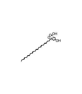 CC/C=C/C/C=C/C/C=C/C/C=C/C/C=C/C/C=C/CCC(=O)N1CC(O)C[C@H]1C(=O)O